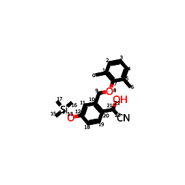 Cc1cccc(C)c1OCc1cc(O[Si](C)(C)C)ccc1C(O)C#N